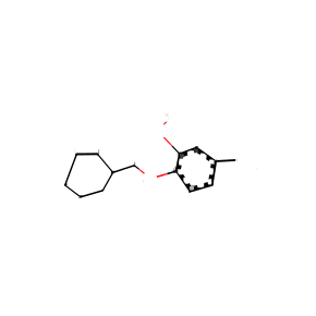 [CH2]c1ccc(OCC2CCCCC2)c(OCC)c1